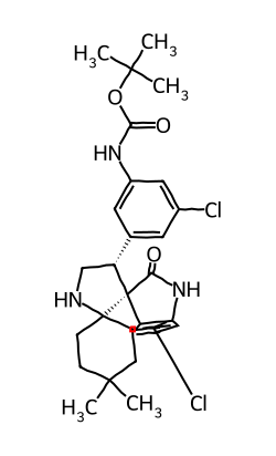 CC1(C)CCC2(CC1)NC[C@H](c1cc(Cl)cc(NC(=O)OC(C)(C)C)c1)[C@]21C(=O)Nc2cc(Cl)ccc21